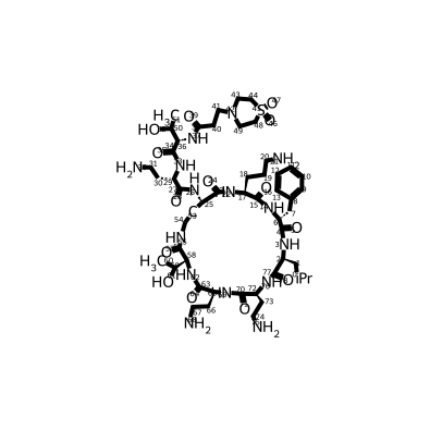 CC(C)C[C@@H]1NC(=O)[C@@H](Cc2ccccc2)NC(=O)[C@H](CCCN)NC(=O)[C@@H](NC(=O)[C@H](CCN)NC(=O)[C@@H](NC(=O)CCN2CCS(=O)(=O)CC2)C(C)O)CCNC(=O)[C@H](C(C)O)NC(=O)[C@H](CCN)NC(=O)[C@H](CCN)NC1=O